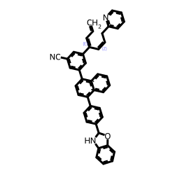 C=C/C=C(\C=C/Cc1ccccn1)c1cc(C#N)cc(-c2ccc(-c3ccc(C4Nc5ccccc5O4)cc3)c3ccccc23)c1